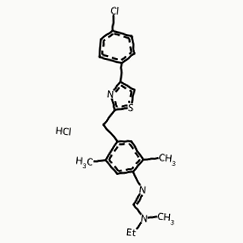 CCN(C)C=Nc1cc(C)c(Cc2nc(-c3ccc(Cl)cc3)cs2)cc1C.Cl